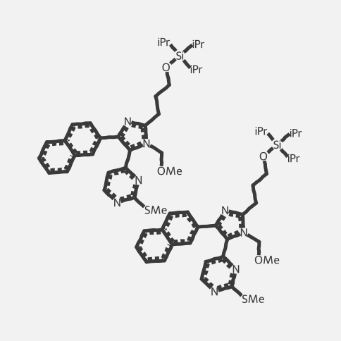 COCn1c(CCCO[Si](C(C)C)(C(C)C)C(C)C)nc(-c2ccc3ccccc3c2)c1-c1ccnc(SC)n1.COCn1c(CCCO[Si](C(C)C)(C(C)C)C(C)C)nc(-c2ccc3ccccc3c2)c1-c1ccnc(SC)n1